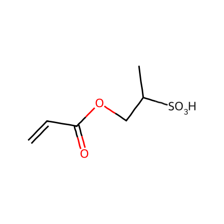 C=CC(=O)OCC(C)S(=O)(=O)O